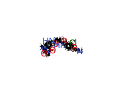 CCn1c(=O)c2cc(NC(=O)CC(C)CC(=O)Nc3ccc(OCC#N)c(Cl)c3)ccc2n(CC)c1=O